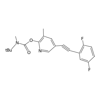 Cc1cc(C#Cc2cc(F)ccc2F)cnc1OC(=O)N(C)C(C)(C)C